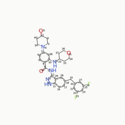 O=C1CCN(c2ccc(C(=O)Nc3n[nH]c4ccc(Cc5cc(F)cc(F)c5)cc34)c(NC3CCOCC3)c2)CC1